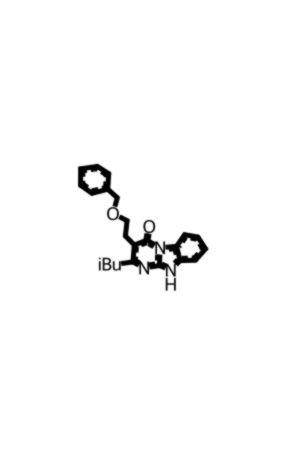 CCC(C)c1nc2[nH]c3ccccc3n2c(=O)c1CCOCc1ccccc1